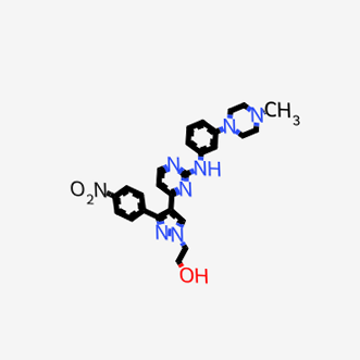 CN1CCN(c2cccc(Nc3nccc(-c4cn(CCO)nc4-c4ccc([N+](=O)[O-])cc4)n3)c2)CC1